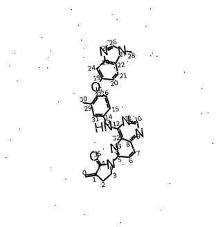 C=C1CCN(c2ccc3ncnc(Nc4ccc(Oc5ccc6c(c5)ncn6C)c(C)c4)c3n2)C1=O